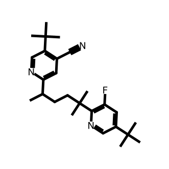 CC(CCC(C)(C)c1ncc(C(C)(C)C)cc1F)c1cc(C#N)c(C(C)(C)C)cn1